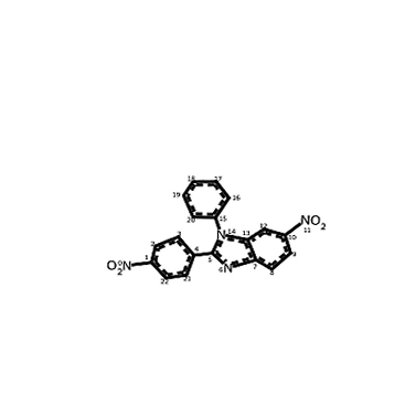 O=[N+]([O-])c1ccc(-c2nc3ccc([N+](=O)[O-])cc3n2-c2ccccc2)cc1